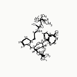 CC(C)(C)OC(=O)NCC[C@@H]1CCCN1C[C@H]1O[C@@H](n2ccc3c(Cl)ncnc32)[C@@H]2OC(C)(C)O[C@@H]21